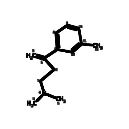 C=C(CCN(C)C)c1cccc(C)c1